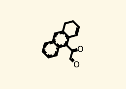 O=CC(=O)c1c2c(cc3ccccc13)CCC=C2